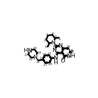 CC1CCCC(C)N1c1nc(Nc2ccc(CN3CCNCC3)cc2)c2c(=O)[nH]ncc2n1